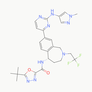 Cn1cc(Nc2nccc(-c3ccc4c(c3)CN(CC(F)(F)F)CC[C@@H]4NC(=O)c3nnc(C(C)(C)C)o3)n2)cn1